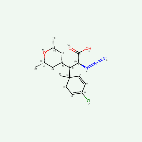 C[C@@H]1C[C@H]([C@@H]([C@H](N=[N+]=[N-])C(=O)O)C2(C)C=CC(Cl)=CC2)C[C@H](C)O1